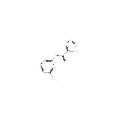 O=C(Nc1cccc(C(F)(F)F)n1)c1nnn[nH]1